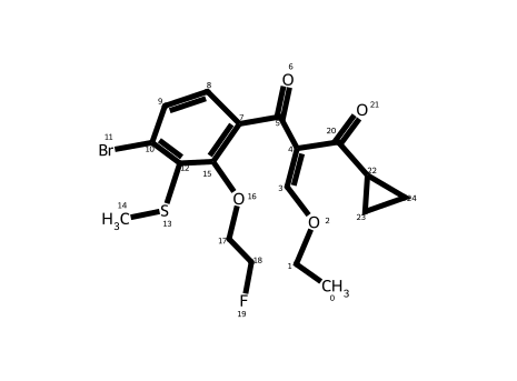 CCOC=C(C(=O)c1ccc(Br)c(SC)c1OCCF)C(=O)C1CC1